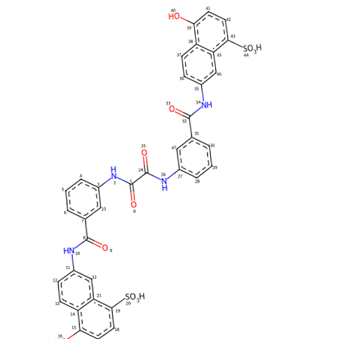 O=C(Nc1cccc(C(=O)Nc2ccc3c(O)ccc(S(=O)(=O)O)c3c2)c1)C(=O)Nc1cccc(C(=O)Nc2ccc3c(O)ccc(S(=O)(=O)O)c3c2)c1